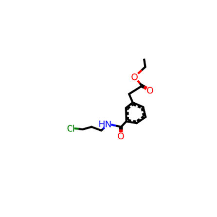 CCOC(=O)Cc1cccc(C(=O)NCCCCl)c1